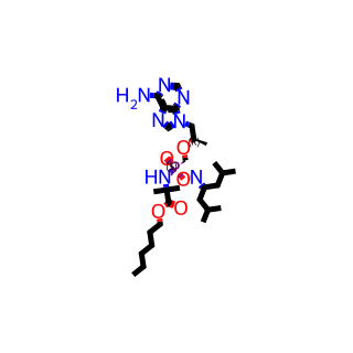 CCCCCCOC(=O)C(C)(C)N[P@](=O)(CO[C@H](C)Cn1cnc2c(N)ncnc21)ON=C(CC(C)C)CC(C)C